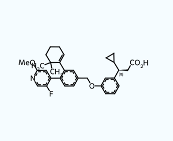 COc1cc(-c2ccc(COc3cccc([C@H](CC(=O)O)C4CC4)c3)cc2C2=CCCCC2(C)C)c(F)cn1